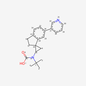 CC(C)(C)N(C(=O)O)C1CC12CCc1ccc(-c3cccnc3)cc12